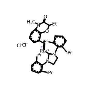 CCC1Oc2c(/[CH]=[Ru+2]/[CH]3N(c4c(C(C)C)cccc4C(C)C)CCN3c3c(C(C)C)cccc3C(C)C)cccc2N(C)C1=O.[Cl-].[Cl-]